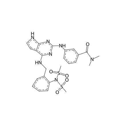 CN(C)C(=O)c1cccc(Nc2nc(NCc3ccccc3N(S(C)(=O)=O)S(C)(=O)=O)c3cc[nH]c3n2)c1